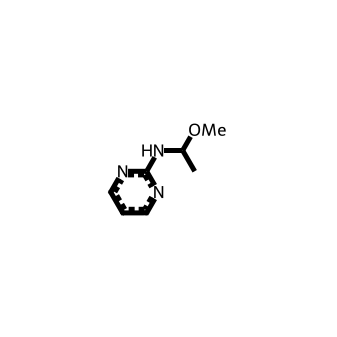 COC(C)Nc1ncccn1